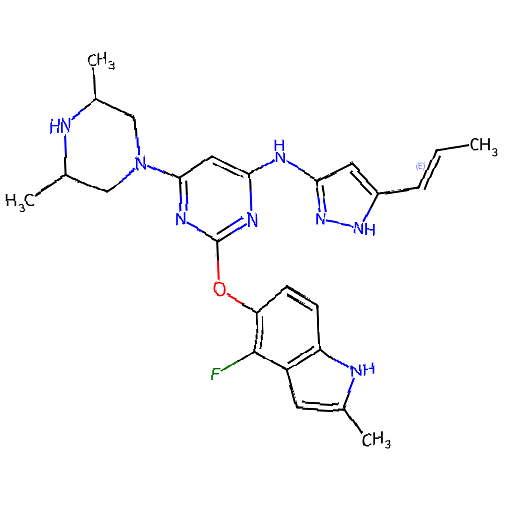 C/C=C/c1cc(Nc2cc(N3CC(C)NC(C)C3)nc(Oc3ccc4[nH]c(C)cc4c3F)n2)n[nH]1